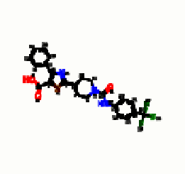 O=C(O)c1sc(C2CCN(C(=O)Nc3ccc(C(F)(F)F)cc3)CC2)nc1-c1ccccc1